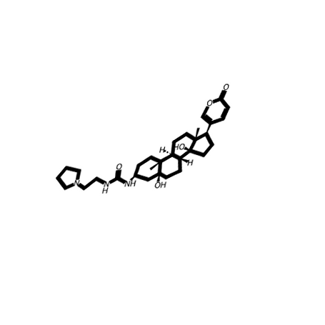 C[C@]12CC[C@H](NC(=O)NCCN3CCCC3)C[C@@]1(O)CC[C@@H]1[C@@H]2CC[C@]2(C)[C@@H](c3ccc(=O)oc3)CC[C@]12O